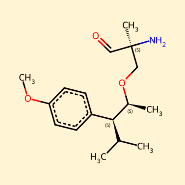 COc1ccc([C@H](C(C)C)[C@H](C)OC[C@](C)(N)C=O)cc1